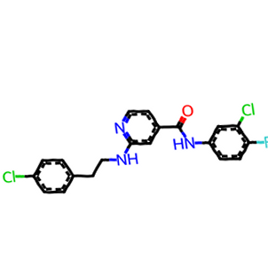 O=C(Nc1ccc(F)c(Cl)c1)c1ccnc(NCCc2ccc(Cl)cc2)c1